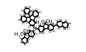 CC1(C)c2ccccc2-c2ccc(N(c3ccc4c(c3)-c3ccccc3C4(c3ccccc3)c3ccccc3)c3ccc4c(c3)C(C)(C)c3cc(-c5ccc6ccccc6c5)ccc3-4)cc21